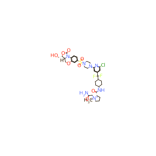 C[N@+]1(CC(N)=O)CCC[C@H]1C(=O)NC1CCC(C(F)(F)c2cc(Cl)nc(N3CCN(S(=O)(=O)c4ccc5c(c4)OC[C@@H]4[C@H](CO)OC(=O)N54)CC3)c2)CC1